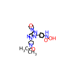 CC(C)C(=O)N1CCC(n2ncc3c(N4CCOCC4)nc(-c4ccc(NC(=O)O)cc4)nc32)CC1